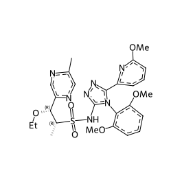 CCO[C@H](c1cnc(C)cn1)[C@@H](C)S(=O)(=O)Nc1nnc(-c2cccc(OC)n2)n1-c1c(OC)cccc1OC